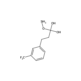 OC(O)(CCc1cccc(C(F)(F)F)c1)O[SiH3]